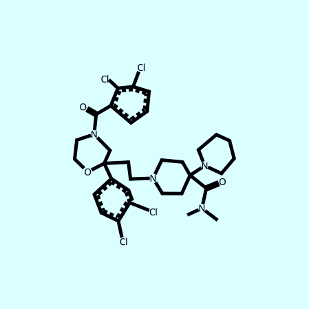 CN(C)C(=O)C1(N2CCCCC2)CCN(CCC2(c3ccc(Cl)c(Cl)c3)CN(C(=O)c3cccc(Cl)c3Cl)CCO2)CC1